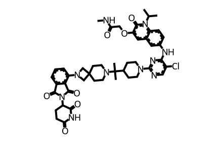 CNC(=O)COc1cc2cc(Nc3nc(N4CCC(C(C)(C)N5CCC6(CC5)CN(c5cccc7c5C(=O)N(C5CCC(=O)NC5=O)C7=O)C6)CC4)ncc3Cl)ccc2n(C(C)C)c1=O